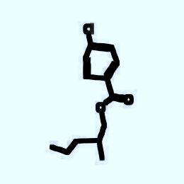 CCCC(C)COC(=O)c1ccc(Cl)cc1